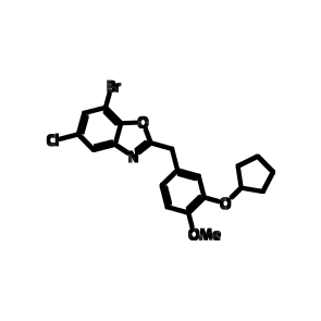 COc1ccc(Cc2nc3cc(Cl)cc(Br)c3o2)cc1OC1CCCC1